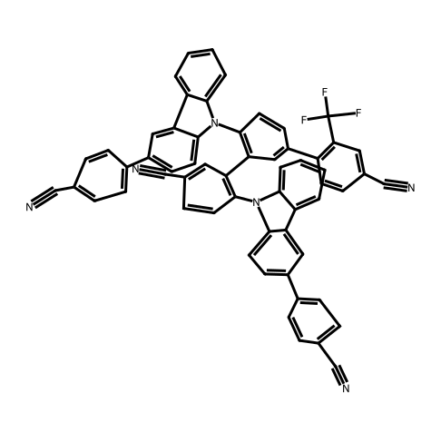 N#Cc1ccc(-c2ccc3c(c2)c2ccccc2n3-c2ccc(C#N)cc2-c2cc(-c3ccc(C#N)cc3C(F)(F)F)ccc2-n2c3ccccc3c3cc(-c4ccc(C#N)cc4)ccc32)cc1